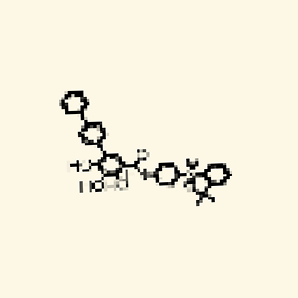 CC(C)(C)c1ccccc1S(=O)(=O)c1ccc(NC(=O)c2cc(-c3ccc(-c4ccccc4)cc3)c(O)c(O)c2O)cc1